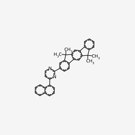 CC1(C)c2ccccc2-c2cc3c(cc21)-c1ccc(-c2nccc(-c4cccc5ccccc45)n2)cc1C3(C)C